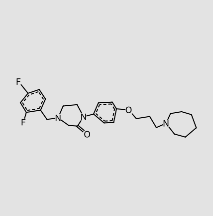 O=C1CN(Cc2ccc(F)cc2F)CCN1c1ccc(OCCCN2CCCCCC2)cc1